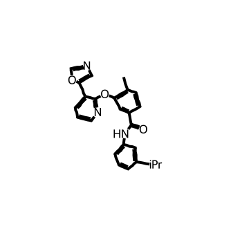 Cc1ccc(C(=O)Nc2cccc(C(C)C)c2)cc1Oc1ncccc1-c1cnco1